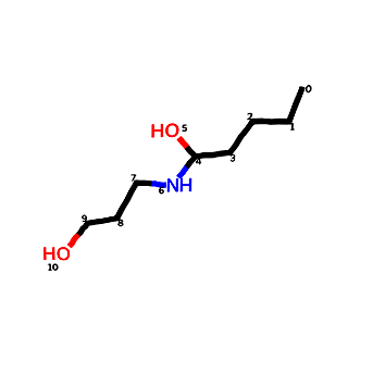 CCCCC(O)NCCCO